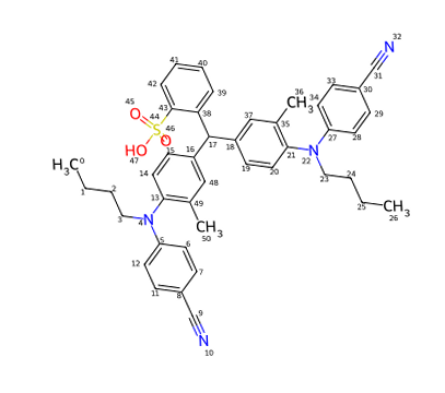 CCCCN(c1ccc(C#N)cc1)c1ccc(C(c2ccc(N(CCCC)c3ccc(C#N)cc3)c(C)c2)c2ccccc2S(=O)(=O)O)cc1C